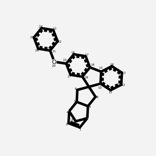 C1=CC2CC1C1CC3(CC21)c1ccccc1-c1ccc(Oc2ccccc2)cc13